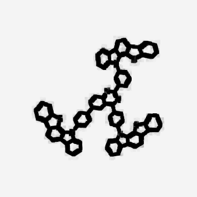 c1cc(-c2nc(-c3ccc(-n4c5ccccc5c5ccc6c7ccccc7sc6c54)cc3)c3cc(-c4ccc(-n5c6ccccc6c6ccc7c8ccccc8sc7c65)cc4)ccc3n2)cc(-n2c3ccccc3c3ccc4c5ccccc5sc4c32)c1